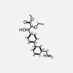 CCOC(C(=O)OC)C(O)c1ccc(-c2cccc(CNC)c2)cc1